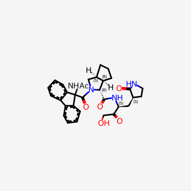 CC(=O)NC1(C(=O)N2C[C@H]3CCC[C@H]3[C@@H]2C(=O)N[C@@H](C[C@@H]2CCNC2=O)C(=O)CO)c2ccccc2-c2ccccc21